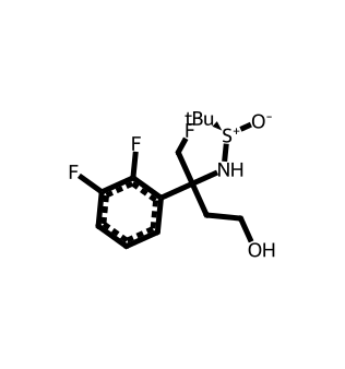 CC(C)(C)[S@@+]([O-])NC(CF)(CCO)c1cccc(F)c1F